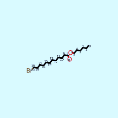 CCCCCCOC(=O)CCCCCCCCCCCBr